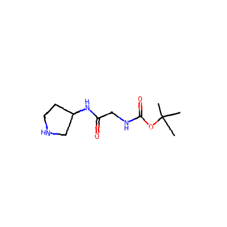 CC(C)(C)OC(=O)NCC(=O)NC1CCNC1